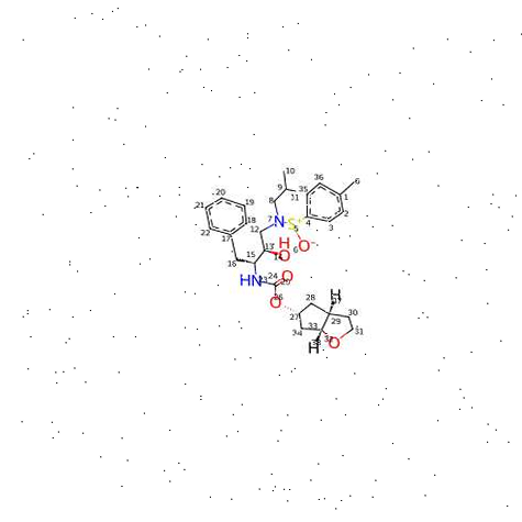 Cc1ccc([S+]([O-])N(CC(C)C)C[C@@H](O)[C@H](Cc2ccccc2)NC(=O)O[C@@H]2C[C@@H]3CCO[C@@H]3C2)cc1